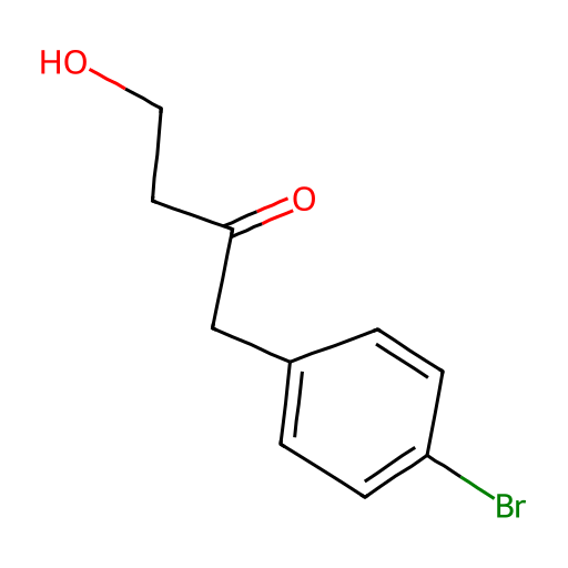 O=C(CCO)Cc1ccc(Br)cc1